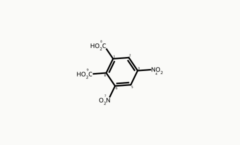 O=C(O)c1cc([N+](=O)[O-])cc([N+](=O)[O-])c1C(=O)O